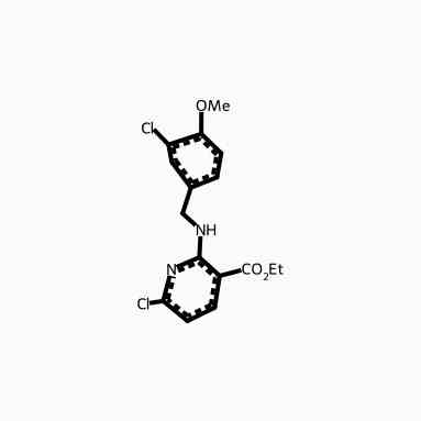 CCOC(=O)c1ccc(Cl)nc1NCc1ccc(OC)c(Cl)c1